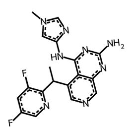 CC(c1ncc(F)cc1F)c1cncc2nc(N)nc(Nc3cn(C)cn3)c12